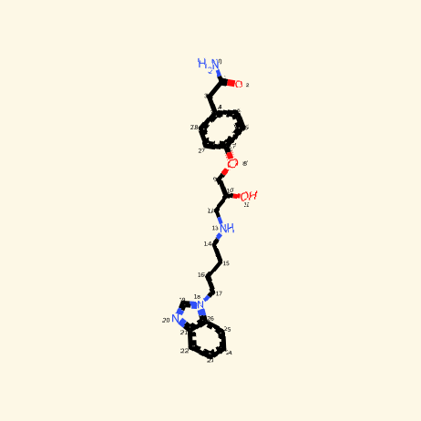 NC(=O)Cc1ccc(OCC(O)CNCCCCn2cnc3ccccc32)cc1